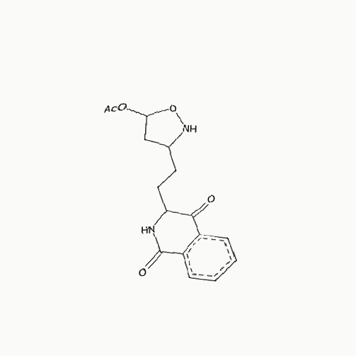 CC(=O)OC1CC(CCC2NC(=O)c3ccccc3C2=O)NO1